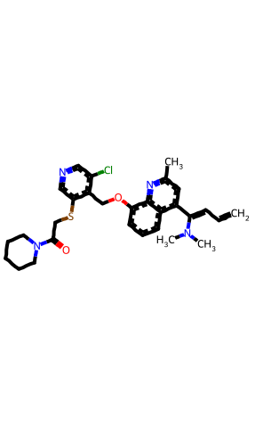 C=C/C=C(/c1cc(C)nc2c(OCc3c(Cl)cncc3SCC(=O)N3CCCCC3)cccc12)N(C)C